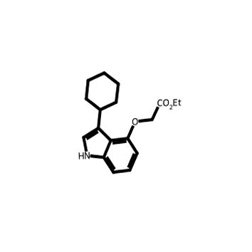 CCOC(=O)COc1cccc2[nH]cc(C3CCCCC3)c12